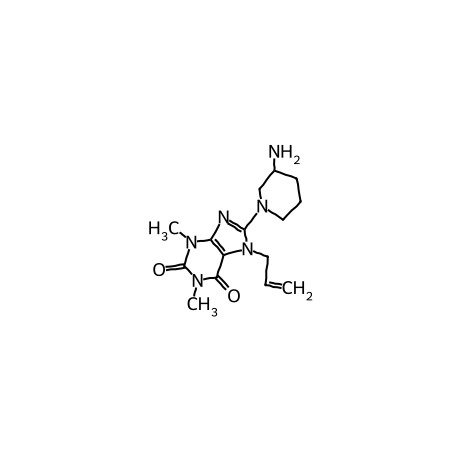 C=CCn1c(N2CCCC(N)C2)nc2c1c(=O)n(C)c(=O)n2C